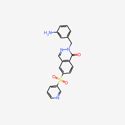 Nc1cccc(Cn2ncc3cc(S(=O)(=O)c4cccnc4)ccc3c2=O)c1